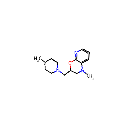 CC1CCN(CC2CN(C)c3cccnc3O2)CC1